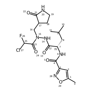 Cc1cc(C(=O)N[C@@H](CC(C)C)C(=O)NN(CC2CCNC2=O)C(=O)C(F)Cl)no1